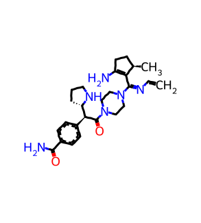 C=C/N=C(\C1=C(N)CC[C@H]1C)N1CCN(C(=O)[C@@H](c2ccc(C(N)=O)cc2)[C@@H]2CCCN2)CC1